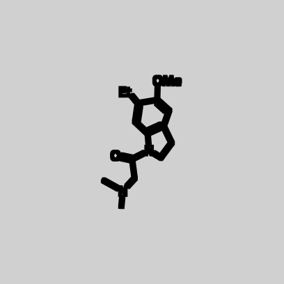 CCc1cc2c(cc1OC)CCN2C(=O)CN(C)C